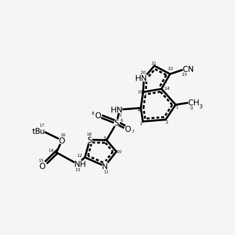 Cc1ccc(NS(=O)(=O)c2cnc(NC(=O)OC(C)(C)C)s2)c2[nH]cc(C#N)c12